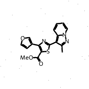 COC(=O)c1sc(-c2c(C)nn3ccccc23)nc1-c1ccoc1